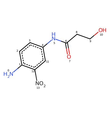 Nc1ccc(NC(=O)CCO)cc1[N+](=O)[O-]